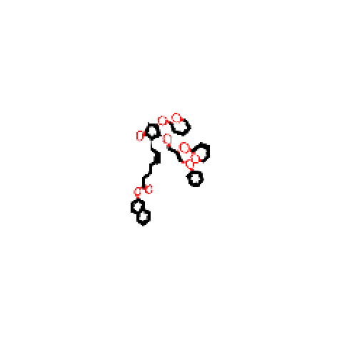 O=C(CCC/C=C\C[C@H]1C(=O)C[C@@H](OC2CCCCO2)[C@@H]1OCC(COc1ccccc1)OC1CCCCO1)Oc1ccc2ccccc2c1